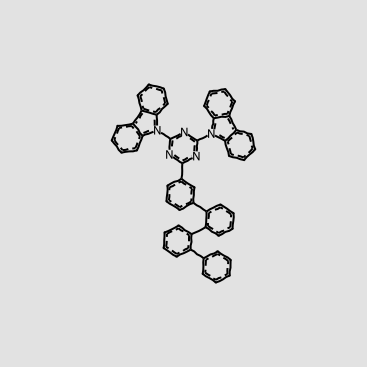 c1ccc(-c2ccccc2-c2ccccc2-c2cccc(-c3nc(-n4c5ccccc5c5ccccc54)nc(-n4c5ccccc5c5ccccc54)n3)c2)cc1